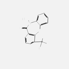 CN1C(=O)c2cccc(C(F)(F)F)c2Sc2ccccc21